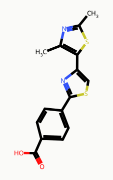 Cc1nc(C)c(-c2csc(-c3ccc(C(=O)O)cc3)n2)s1